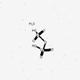 O.[O]=[Cr](=[O])([OH])[O][Cr](=[O])(=[O])[OH]